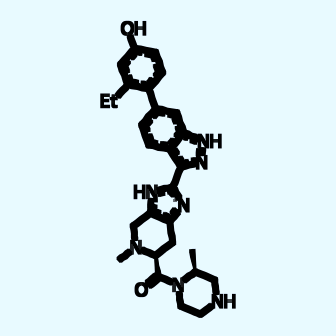 CCc1cc(O)ccc1-c1ccc2c(-c3nc4c([nH]3)CN(C)[C@H](C(=O)N3CCNC[C@@H]3C)C4)n[nH]c2c1